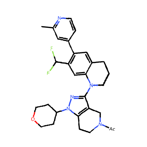 CC(=O)N1CCc2c(c(N3CCCc4cc(-c5ccnc(C)c5)c(C(F)F)cc43)nn2C2CCOCC2)C1